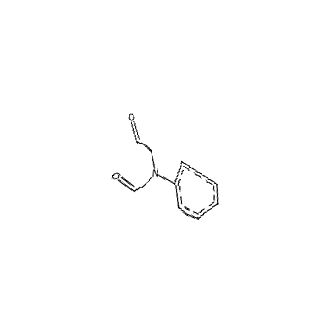 O=CCN(C=O)c1ccccc1